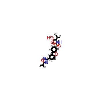 CC(C)c1nc(-c2ccc3oc4cc(S(=O)(=O)N[C@H](C(=O)O)C(C)C)ccc4c3c2)no1